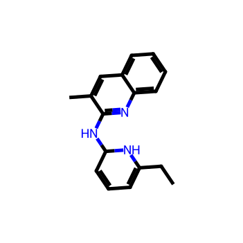 CCC1=CC=CC(Nc2nc3ccccc3cc2C)N1